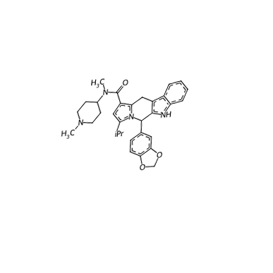 CC(C)c1cc(C(=O)N(C)C2CCN(C)CC2)c2n1C(c1ccc3c(c1)OCO3)c1[nH]c3ccccc3c1C2